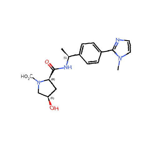 C[C@H](NC(=O)[C@H]1C[C@@H](O)CN1C(=O)O)c1ccc(-c2nccn2C)cc1